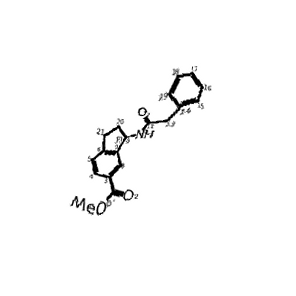 COC(=O)c1ccc2c(c1)[C@H](NC(=O)Cc1ccccc1)CC2